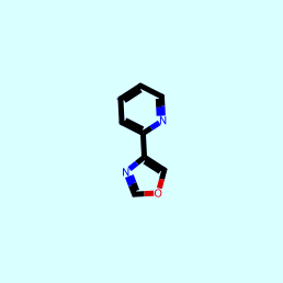 [c]1ccnc(-c2cocn2)c1